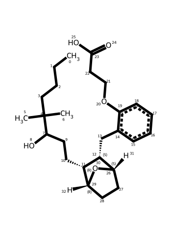 CCCCC(C)(C)C(O)CC[C@@H]1[C@H](Cc2ccccc2OCCC(=O)O)[C@@H]2CC[C@H]1O2